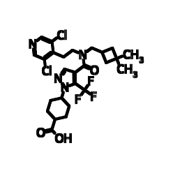 CC1(C)CC(CN(CCc2c(Cl)cncc2Cl)C(=O)c2cnn(C3CCC(C(=O)O)CC3)c2C(F)(F)F)C1